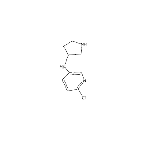 Clc1ccc(NC2CCNC2)cn1